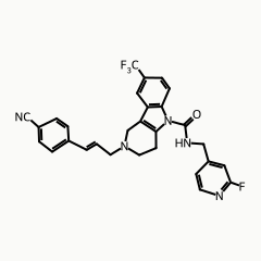 N#Cc1ccc(C=CCN2CCc3c(c4cc(C(F)(F)F)ccc4n3C(=O)NCc3ccnc(F)c3)C2)cc1